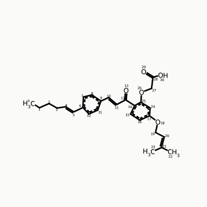 CCCCC=Cc1ccc(C=CC(=O)c2ccc(OCC=C(C)C)cc2OCC(=O)O)cc1